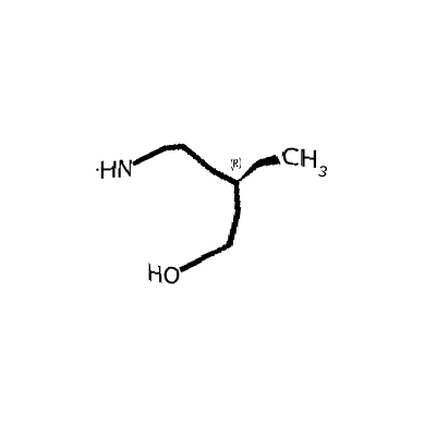 C[C@H](C[NH])CO